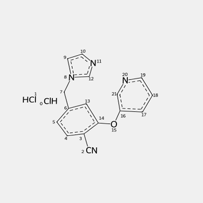 Cl.Cl.N#Cc1ccc(Cn2ccnc2)cc1Oc1cccnc1